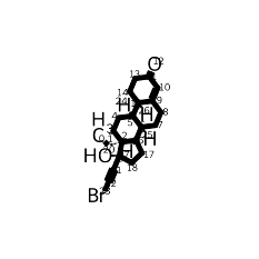 CC[C@]12CC[C@H]3[C@@H](CCC4=CC(=O)CC[C@@H]43)[C@@H]1CC[C@@]2(O)C#CBr